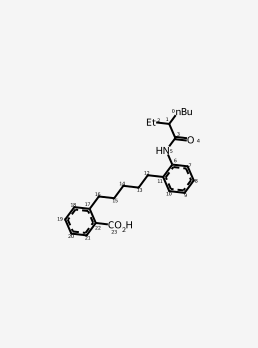 CCCCC(CC)C(=O)Nc1ccccc1CCCCCc1ccccc1C(=O)O